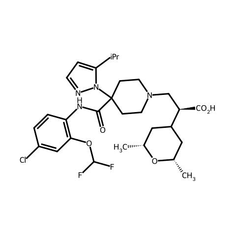 CC(C)c1ccnn1C1(C(=O)Nc2ccc(Cl)cc2OC(F)F)CCN(C[C@@H](C(=O)O)C2C[C@@H](C)O[C@@H](C)C2)CC1